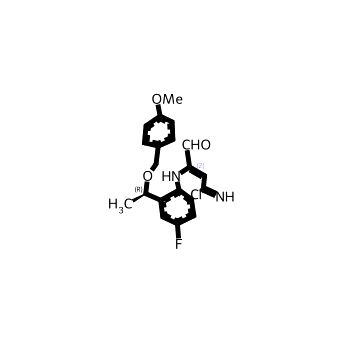 COc1ccc(CO[C@H](C)c2cc(F)ccc2N/C(C=O)=C\C(=N)Cl)cc1